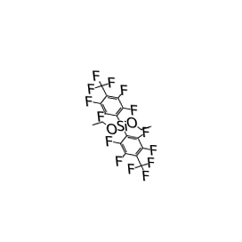 CCO[Si](OCC)(c1c(F)c(F)c(C(F)(F)F)c(F)c1F)c1c(F)c(F)c(C(F)(F)F)c(F)c1F